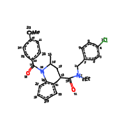 CCN(Cc1ccc(Cl)cc1)C(=O)C1CC(C)N(C(=O)c2ccc(OC)cc2)c2ccccc21